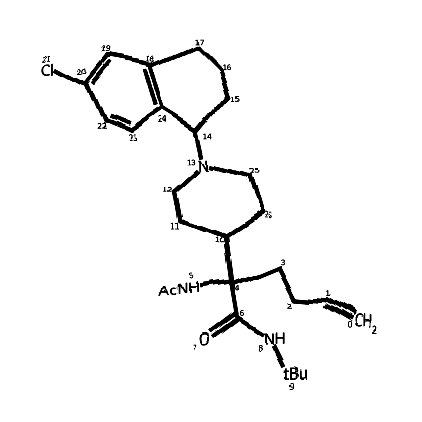 C=CCCC(NC(C)=O)(C(=O)NC(C)(C)C)C1CCN(C2CCCc3cc(Cl)ccc32)CC1